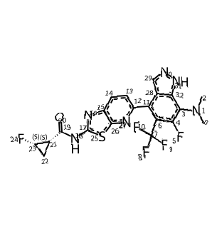 CN(C)c1c(F)c(C(F)(F)F)c(-c2ccc3nc(NC(=O)[C@@H]4C[C@@H]4F)sc3n2)c2cn[nH]c12